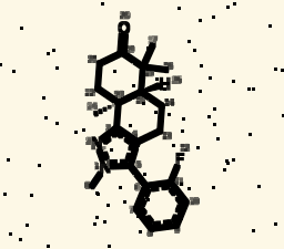 Cn1nc2c(c1-c1ccccc1F)CC[C@H]1C(C)(C)C(=O)CC[C@]21C